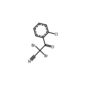 N#CC(Br)(Br)C(=O)c1ccccc1Cl